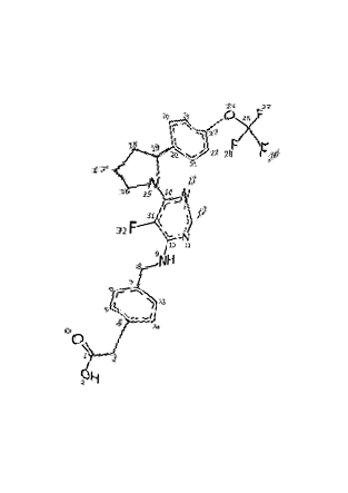 O=C(O)Cc1ccc(CNc2ncnc(N3CCCC3c3ccc(OC(F)(F)F)cc3)c2F)cc1